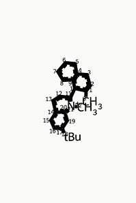 Cc1ccc2ccccc2c1-c1ccc2ccc(C(C)(C)C)cc2[n+]1C